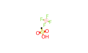 CS(=O)(=O)O.F[B-](F)(F)F